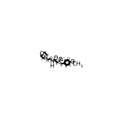 COc1ccc(C[S+]([O-])CC(=O)NCCN2CCOCC2)cc1